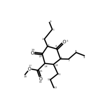 CCCC1C(=O)C(CCC)C(CCC)C(C(=O)OC)C1=O